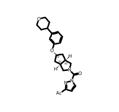 CC(=O)c1ccn(C(=O)N2C[C@H]3C[C@H](Oc4cccc(C5CCOCC5)c4)C[C@H]3C2)n1